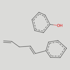 C=CCC=Cc1ccccc1.Oc1ccccc1